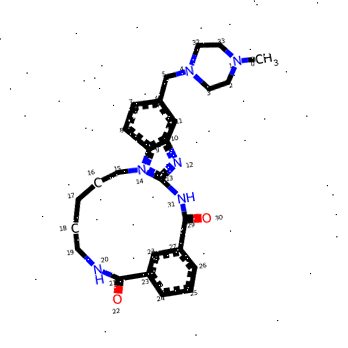 CN1CCN(Cc2ccc3c(c2)nc2n3CCCCCNC(=O)c3cccc(c3)C(=O)N2)CC1